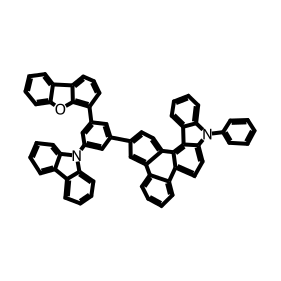 c1ccc(-n2c3ccccc3c3c4c(ccc32)c2ccccc2c2cc(-c3cc(-c5cccc6c5oc5ccccc56)cc(-n5c6ccccc6c6ccccc65)c3)ccc24)cc1